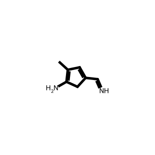 CC1=C(N)CC(C=N)=C1